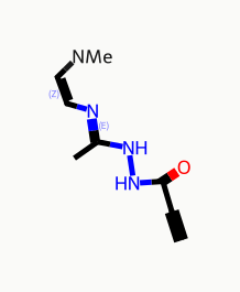 C#CC(=O)NN/C(C)=N/C=C\NC